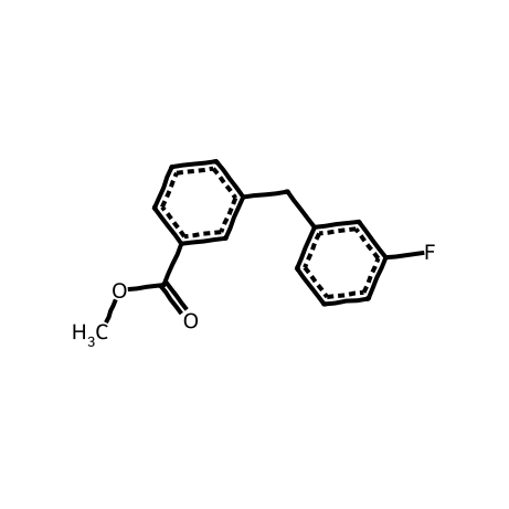 COC(=O)c1cccc(Cc2cccc(F)c2)c1